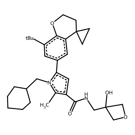 Cc1c(C(=O)NCC2(O)COC2)cc(-c2cc(C(C)(C)C)c3c(c2)C2(CCO3)CC2)n1CC1CCCCC1